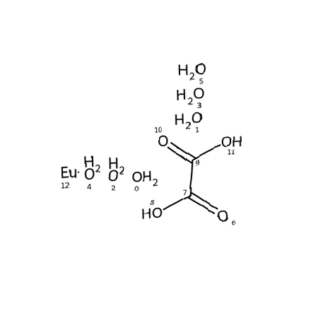 O.O.O.O.O.O.O=C(O)C(=O)O.[Eu]